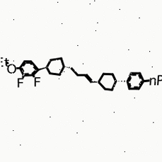 CCCc1ccc([C@H]2CC[C@H](C=CCC[C@H]3CC[C@H](c4ccc(OCC)c(F)c4F)CC3)CC2)cc1